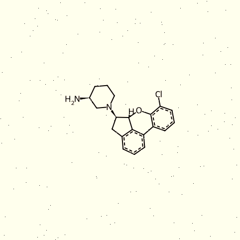 N[C@H]1CCCN([C@@H]2Cc3cccc4c3[C@H]2Oc2c(Cl)cccc2-4)C1